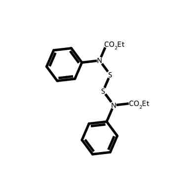 CCOC(=O)N(SSN(C(=O)OCC)c1ccccc1)c1ccccc1